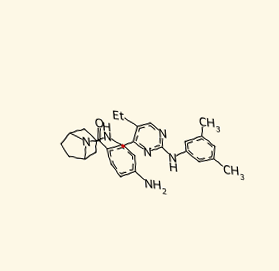 CCc1cnc(Nc2cc(C)cc(C)c2)nc1CNC1CC2CCC(C1)N2C(=O)c1ccc(N)cc1